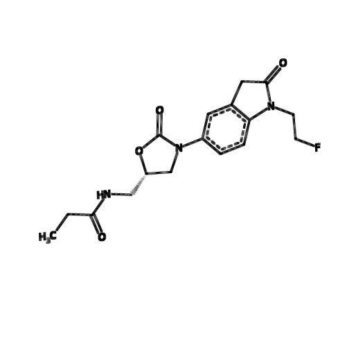 CCC(=O)NC[C@H]1CN(c2ccc3c(c2)CC(=O)N3CCF)C(=O)O1